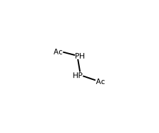 CC(=O)PPC(C)=O